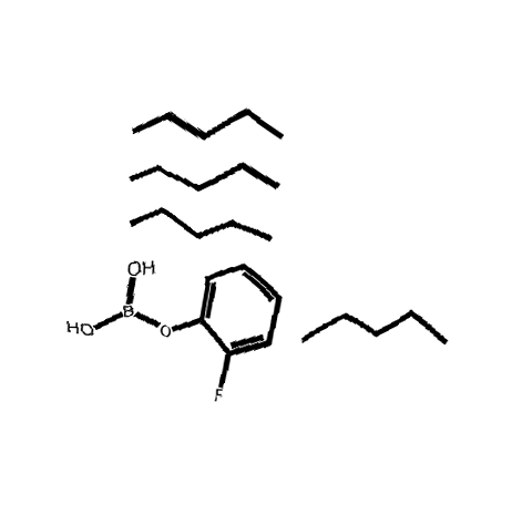 CCCCC.CCCCC.CCCCC.CCCCC.OB(O)Oc1ccccc1F